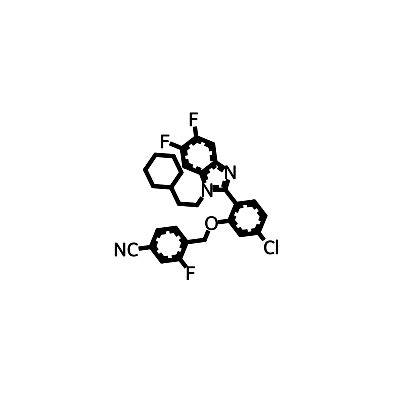 N#Cc1ccc(COc2cc(Cl)ccc2-c2nc3cc(F)c(F)cc3n2CCC2CCCCC2)c(F)c1